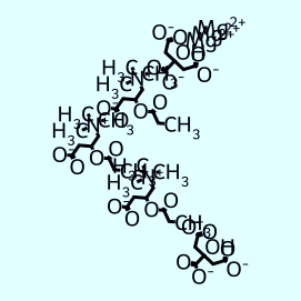 CCC(=O)OC(CC(=O)[O-])C[N+](C)(C)C.CCC(=O)OC(CC(=O)[O-])C[N+](C)(C)C.CCC(=O)OC(CC(=O)[O-])C[N+](C)(C)C.O=C([O-])CC(O)(CC(=O)[O-])C(=O)[O-].O=C([O-])CC(O)(CC(=O)[O-])C(=O)[O-].[Mg+2].[Mg+2].[Mg+2]